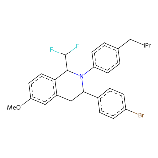 COc1ccc2c(c1)CC(c1ccc(Br)cc1)N(c1ccc(CC(C)C)cc1)C2C(F)F